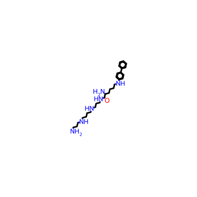 NCCCNCCCCNCCCNC(=O)C(N)CCCCNc1ccc(-c2ccccc2)cc1